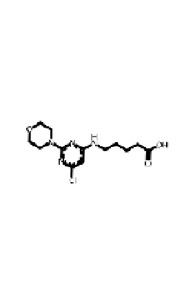 O=C(O)CCCCNc1cc(Cl)nc(N2CCOCC2)n1